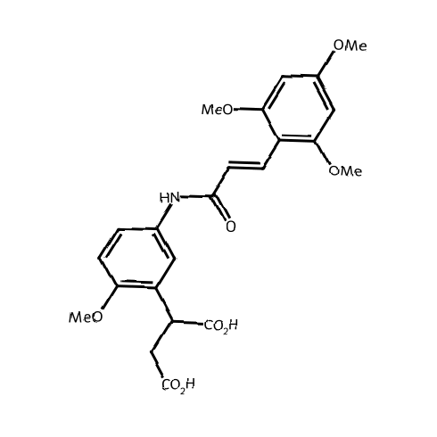 COc1cc(OC)c(C=CC(=O)Nc2ccc(OC)c(C(CC(=O)O)C(=O)O)c2)c(OC)c1